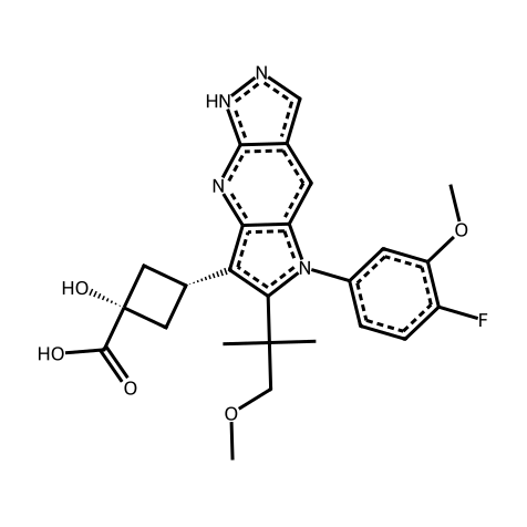 COCC(C)(C)c1c([C@H]2C[C@](O)(C(=O)O)C2)c2nc3[nH]ncc3cc2n1-c1ccc(F)c(OC)c1